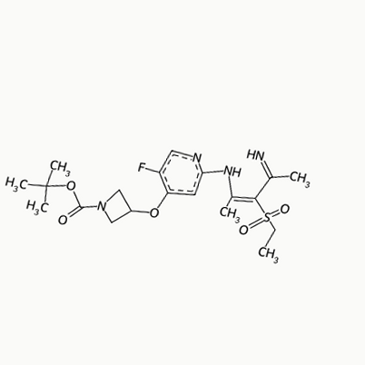 CCS(=O)(=O)/C(C(C)=N)=C(\C)Nc1cc(OC2CN(C(=O)OC(C)(C)C)C2)c(F)cn1